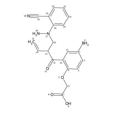 Bc1ccc(OCC(=O)O)c(C(=O)C(C=C)CN(N)c2ccccc2C#N)c1